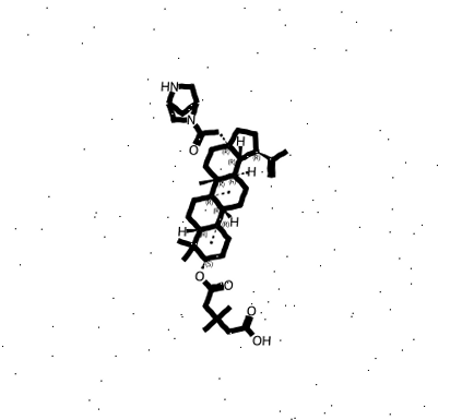 C=C(C)[C@@H]1CC[C@]2(CC(=O)N3CC4CC3CN4)CC[C@]3(C)[C@H](CC[C@@H]4[C@@]5(C)CC[C@H](OC(=O)CC(C)(C)CC(=O)O)C(C)(C)[C@@H]5CC[C@]43C)[C@@H]12